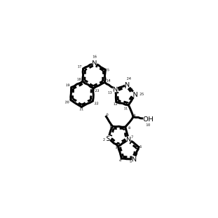 Cc1sc2cncn2c1C(O)c1cn(-c2cncc3ccccc23)nn1